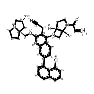 C=CC(=O)N1CC[C@@H]2[C@H]1CN2c1c(CC#N)c(OC[C@@]23CCCN2C[C@H](F)C3)nc2cc(-c3cccc4cccc(Cl)c34)ccc12